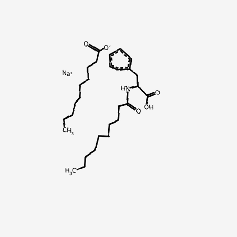 CCCCCCCCCC(=O)NC(Cc1ccccc1)C(=O)O.CCCCCCCCCC(=O)[O-].[Na+]